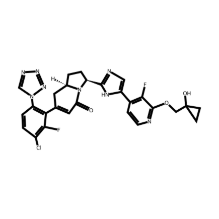 O=C1C=C(c2c(-n3cnnn3)ccc(Cl)c2F)C[C@H]2CC[C@@H](c3ncc(-c4ccnc(OCC5(O)CC5)c4F)[nH]3)N12